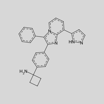 NC1(c2ccc(-c3nc4c(-c5ccn[nH]5)cccn4c3-c3ccccc3)cc2)CCC1